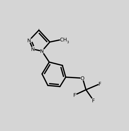 Cc1[c]nnn1-c1cccc(OC(F)(F)F)c1